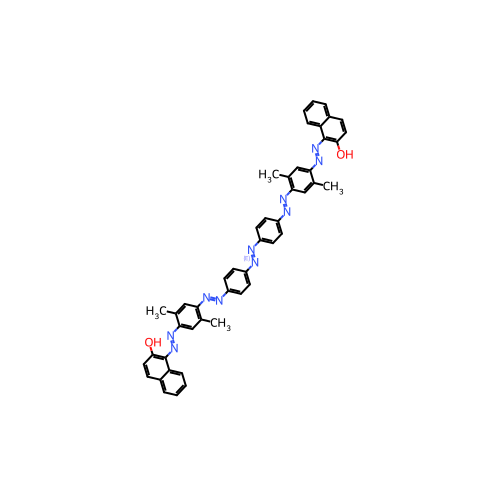 Cc1cc(N=Nc2c(O)ccc3ccccc23)c(C)cc1N=Nc1ccc(/N=N/c2ccc(N=Nc3cc(C)c(N=Nc4c(O)ccc5ccccc45)cc3C)cc2)cc1